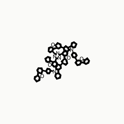 c1ccc2c(c1)oc1c(-c3ccc(-n4c5ccccc5c5cc(-c6ccc7oc8cccc(-c9nc(-c%10cccc%11oc%12ccccc%12c%10%11)nc(-c%10cccc%11oc%12ccc(-c%13ccc%14c(c%13)c%13ccccc%13n%14-c%13ccc(-c%14cccc%15c%14oc%14ccccc%14%15)cc%13)cc%12c%10%11)n9)c8c7c6)ccc54)cc3)cccc12